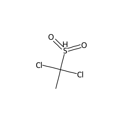 CC(Cl)(Cl)[SH](=O)=O